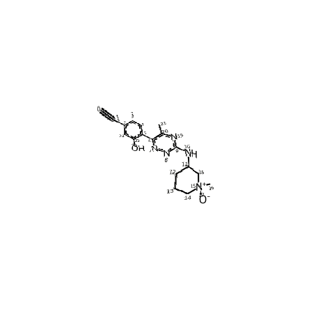 C#Cc1ccc(-c2nnc(N[C@@H]3CCC[N+](C)([O-])C3)nc2C)c(O)c1